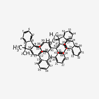 CC1(C)c2ccccc2-c2ccc(-c3ccccc3N(c3cccc(-c4cccc5ccccc45)c3)c3ccccc3-c3cccc4c3C(C)(C)c3ccccc3-4)cc21